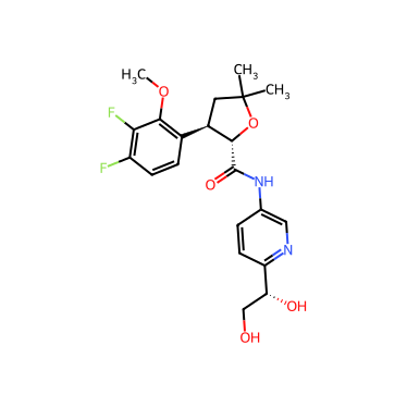 COc1c([C@H]2CC(C)(C)O[C@@H]2C(=O)Nc2ccc([C@H](O)CO)nc2)ccc(F)c1F